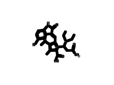 CCN(CC)C(CC(N)=O)n1c(C=C2C(=O)Nc3ccc(Br)cc32)c(C(C)=O)c(C)c1C(=O)O